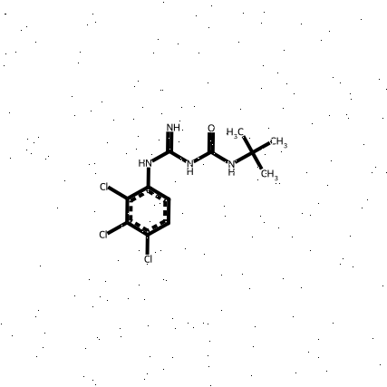 CC(C)(C)NC(=O)NC(=N)Nc1ccc(Cl)c(Cl)c1Cl